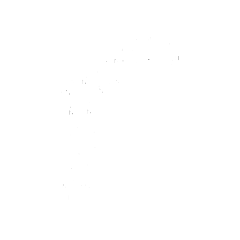 CNC(=O)COc1ccc(-c2nc3c(NC4CCN(Cc5ccc(OC)cc5)CC4)ncnc3[nH]2)cc1